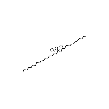 CCCCCCCCCCCCCCCCCC(=O)OC(=O)CCCCCCCCCCC.[Ce]